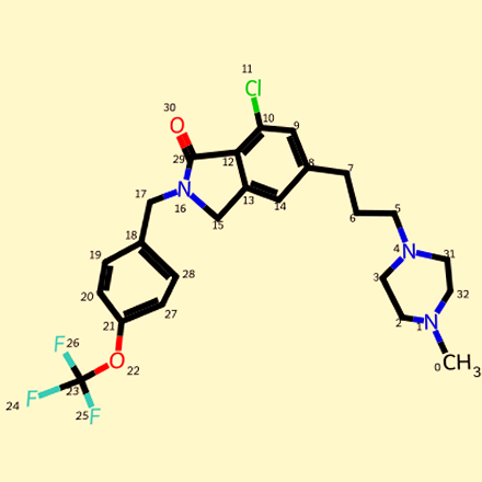 CN1CCN(CCCc2cc(Cl)c3c(c2)CN(Cc2ccc(OC(F)(F)F)cc2)C3=O)CC1